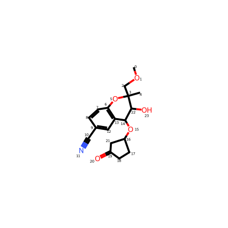 COCC1(C)Oc2ccc(C#N)cc2C(OC2CCC(=O)C2)C1O